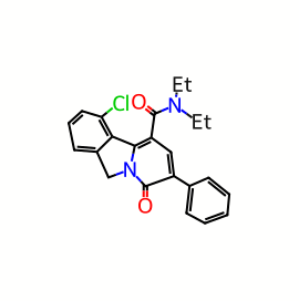 CCN(CC)C(=O)c1cc(-c2ccccc2)c(=O)n2c1-c1c(Cl)cccc1C2